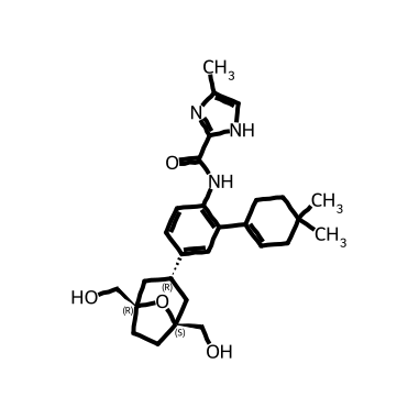 Cc1c[nH]c(C(=O)Nc2ccc([C@@H]3C[C@]4(CO)CC[C@](CO)(C3)O4)cc2C2=CCC(C)(C)CC2)n1